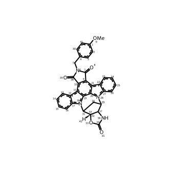 COc1ccc(CN2C(=O)c3c(c4c5ccccc5n5c4c4c3c3ccccc3n4C3CC5[C@H]4OC(=O)NC34)C2=O)cc1